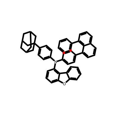 c1ccc(-c2cccc3cccc(-c4ccc(N(c5ccc(C67CC8CC(CC(C8)C6)C7)cc5)c5cccc6oc7ccccc7c56)cc4)c23)cc1